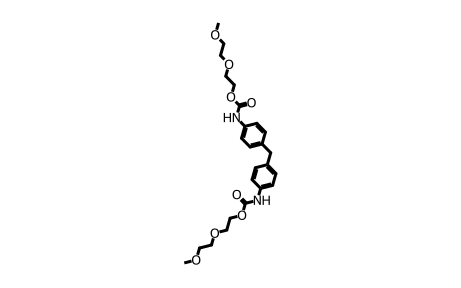 COCCOCCOC(=O)Nc1ccc(Cc2ccc(NC(=O)OCCOCCOC)cc2)cc1